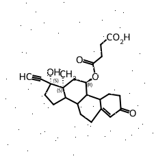 C#C[C@]1(O)CCC2C3CCC4=CC(=O)CCC4C3[C@H](OC(=O)CCC(=O)O)C[C@@]21C